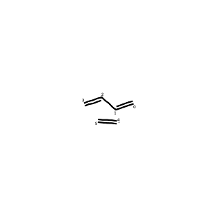 C=CC=C.[CH]=C